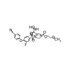 COCCOC(=O)N1CCN(S(=O)(=O)c2ccc(Oc3ccc(C#N)cc3)c(F)c2)[C@@H](C(=O)NO)C1